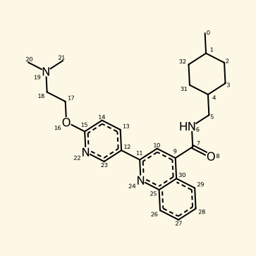 CC1CCC(CNC(=O)c2cc(-c3ccc(OCCN(C)C)nc3)nc3ccccc23)CC1